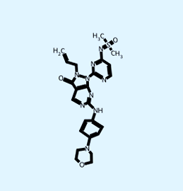 C=CCn1c(=O)c2cnc(Nc3ccc(N4CCOCC4)cc3)nc2n1-c1nccc(N=S(C)(C)=O)n1